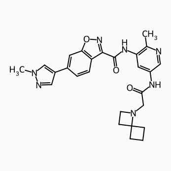 Cc1ncc(NC(=O)CN2CCC23CCC3)cc1NC(=O)c1noc2cc(-c3cnn(C)c3)ccc12